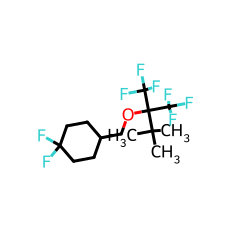 CC(C)(C)C(OCC1CCC(F)(F)CC1)(C(F)(F)F)C(F)(F)F